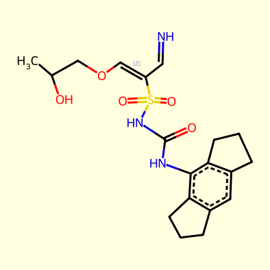 CC(O)CO/C=C(/C=N)S(=O)(=O)NC(=O)Nc1c2c(cc3c1CCC3)CCC2